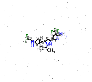 CC(C)n1nc(-c2cnc(N)c(C(F)(F)F)c2)cc1[C@@H]1[C@@H]2C[C@H](NCC(F)F)C[C@@H]21